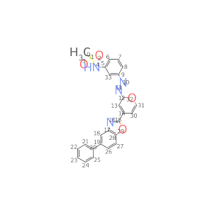 CS(=O)(=O)Nc1cccc(N=NC2C=C(c3nc4cc(-c5ccccc5)ccc4o3)C=CO2)c1